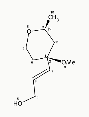 CO[C@@]1(C=CCO)CCO[C@@H](C)C1